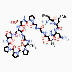 CSCC[C@H](NC(=O)[C@@H](N)CC(C)C)C(=O)N[C@@H](CC(N)=O)C(=O)N[C@H](C(=O)NCC(=O)NCC(=O)N1CCC[C@H]1C(=O)N[C@@H](CO)C(=O)N[C@@H](CO)C(=O)NCC(=O)N[C@@H](C)C(=O)N1CCC[C@H]1C(=O)N1CCC[C@H]1C(=O)N1CCC[C@H]1C(=O)N[C@@H](CO)C(N)=O)[C@@H](C)O